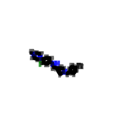 CCc1ccc(CN2CC3C(CNc4ccc(N5CCN(C)CC5)c(F)c4)C3C2)cc1